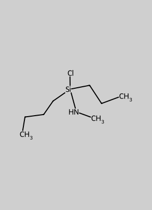 CCCC[Si](Cl)(CCC)NC